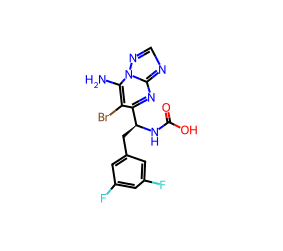 Nc1c(Br)c([C@H](Cc2cc(F)cc(F)c2)NC(=O)O)nc2ncnn12